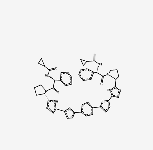 C=C(N[C@H](C(=O)N1CCC[C@H]1c1ncc(-c2ccc(-c3ccc(-c4ccc(-c5cnc([C@@H]6CCCN6C(=O)[C@@H](NC(=O)C6CC6)c6ccccc6)[nH]5)s4)cc3)s2)[nH]1)c1ccccc1)C1CC1